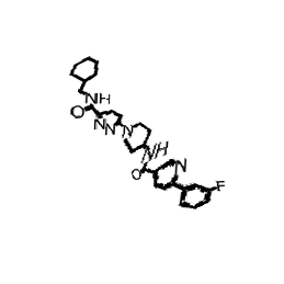 O=C(NC1CCN(c2ccc(C(=O)NCC3CCCCC3)nn2)CC1)c1ccc(-c2cccc(F)c2)nc1